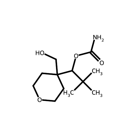 CC(C)(C)C(OC(N)=O)C1(CO)CCOCC1